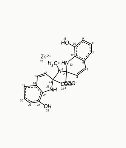 CN(C1(C(=O)[O-])C=Cc2cccc(O)c2N1)C1(C(=O)[O-])C=Cc2cccc(O)c2N1.[Zn+2]